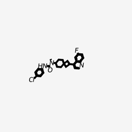 CN(C(=O)Nc1ccc(Cl)cc1)C1CCC2(CC1)CC(c1ccnc3ccc(F)cc13)C2